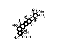 CO[C@@H]1/C(=N\O)[C@@H](OC)[C@@H](NC2=CC(=O)c3c(cc4c(c3O)C(=O)C3(OC)C(O)Cc5cc(C)c(C(=O)O)c(O)c5C3(O)C4=O)C2=O)O[C@H]1C